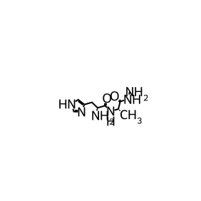 C[C@H](NC(=O)[C@@H](N)Cc1c[nH]cn1)C(=O)NN